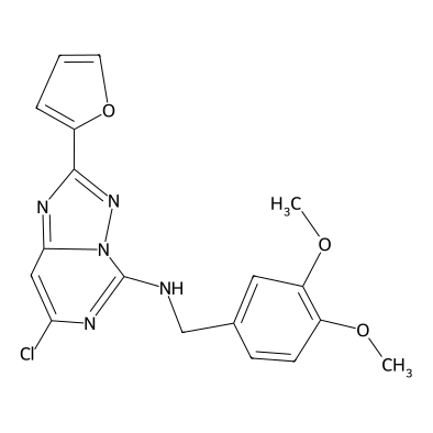 COc1ccc(CNc2nc(Cl)cc3nc(-c4ccco4)nn23)cc1OC